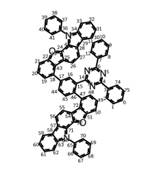 c1ccc(-c2nc(-c3ccccc3)nc(-c3cc(-c4cccc5oc6c(ccc7c8ccccc8n(-c8ccccc8)c76)c45)ccc3-c3cccc4oc5c(ccc6c7ccccc7n(-c7ccccc7)c65)c34)n2)cc1